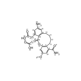 COc1cc2c(c(C(N)=O)c1)CCCCc1cc(N)cc([C@H](CC(=O)O)C(=O)O)c1C(=O)O2